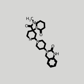 CNC(=O)C1(N2CCCCC2=O)CC[N]C(N2CCC(N3Cc4ccccc4NC3=O)CC2)C1